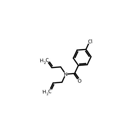 C=CCN(CC=C)C(=O)c1ccc(Cl)cc1